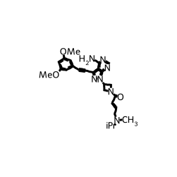 COc1cc(C#Cc2nn(C3CN(C(=O)/C=C/CN(C)C(C)C)C3)c3ncnc(N)c23)cc(OC)c1